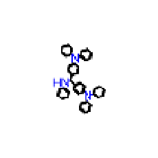 C1=CC(NC(c2ccc(N(c3ccccc3)c3ccccc3)cc2)c2ccc(N(c3ccccc3)c3ccccc3)cc2)=CCC1